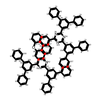 c1ccc(-c2cc(-c3ccccc3)cc(-c3nc(-c4cc(-c5ccccc5)cc(-c5ccccc5)c4)nc(-c4cccc(-c5ccccc5Oc5ccccc5-c5cccc(-c6nc(-c7cc(-c8ccccc8)cc(-c8ccccc8)c7)nc(-c7cc(-c8ccccc8)cc(-c8ccccc8)c7)n6)c5)c4)n3)c2)cc1